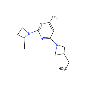 CC1CCN1c1nc(N2CC(CC(=O)O)C2)cc(C(F)(F)F)n1